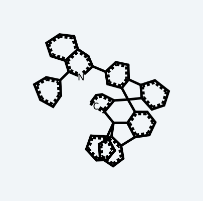 c1ccc(-c2nc(-c3ccc4c(c3)C3(c5ccccc5-4)c4ccccc4C4(c5ccccc5)c5ccccc5-c5cccc3c54)cc3ccccc23)cc1